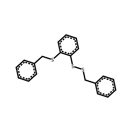 c1ccc(CSSc2ccccc2SCc2ccccc2)cc1